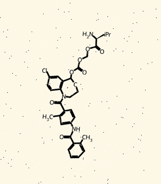 Cc1ccccc1C(=O)Nc1ccc(C(=O)N2CCCC(OC(=O)OCOC(=O)[C@@H](N)C(C)C)c3cc(Cl)ccc32)c(C)c1